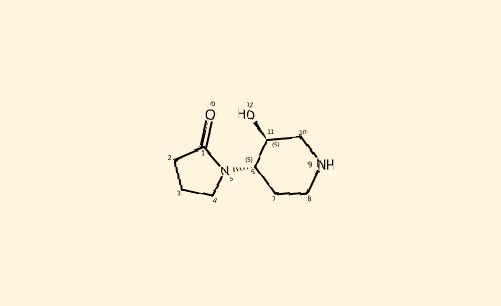 O=C1CCCN1[C@H]1CCNC[C@@H]1O